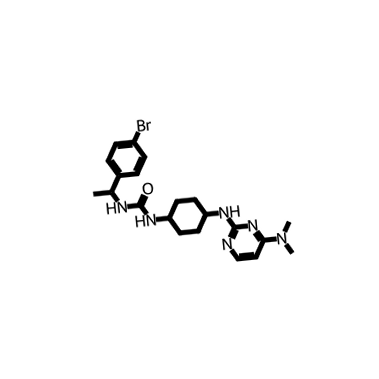 CC(NC(=O)NC1CCC(Nc2nccc(N(C)C)n2)CC1)c1ccc(Br)cc1